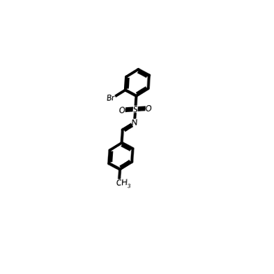 Cc1ccc(/C=N/S(=O)(=O)c2ccccc2Br)cc1